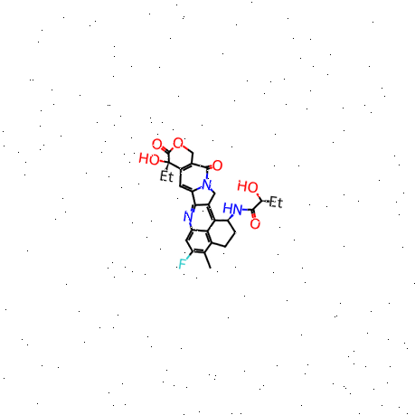 CC[C@H](O)C(=O)N[C@H]1CCc2c(C)c(F)cc3nc4c(c1c23)Cn1c-4cc2c(c1=O)COC(=O)[C@]2(O)CC